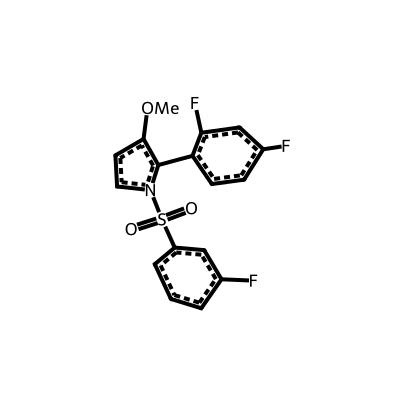 COc1ccn(S(=O)(=O)c2cccc(F)c2)c1-c1ccc(F)cc1F